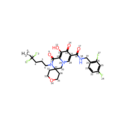 CC(F)(F)CCCN1C(=O)c2c(O)c(=O)c(C(=O)NCc3ccc(F)cc3F)cn2CC12CCOCC2